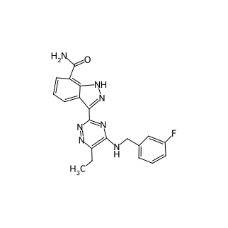 CCc1nnc(-c2n[nH]c3c(C(N)=O)cccc23)nc1NCc1cccc(F)c1